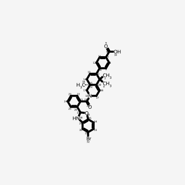 CC1(C)C(c2ccc(C(=O)O)cc2)=CC[C@]2(C)CN(C(=O)c3ccccc3C3Nc4cc(Br)ccc4O3)CC=C12